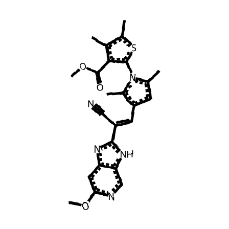 COC(=O)c1c(-n2c(C)cc(/C=C(\C#N)c3nc4cc(OC)ncc4[nH]3)c2C)sc(C)c1C